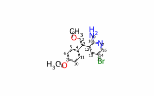 CO/C=C(\c1ccc(OC)cc1)c1cc(Br)cnc1N